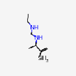 C=C([SiH3])C(C)NCNCC